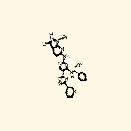 CC(C)n1[nH]c(=O)c2ccc(Nc3ncc(-c4nc(-c5cccnc5)no4)c(N[C@H](CO)c4ccccc4)n3)nc21